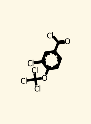 O=C(Cl)c1ccc(OC(Cl)(Cl)Cl)c(Cl)c1